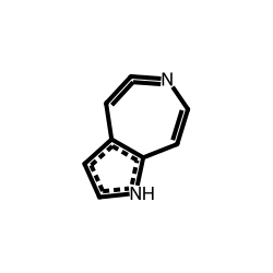 C1=Cc2cc[nH]c2C=CN=1